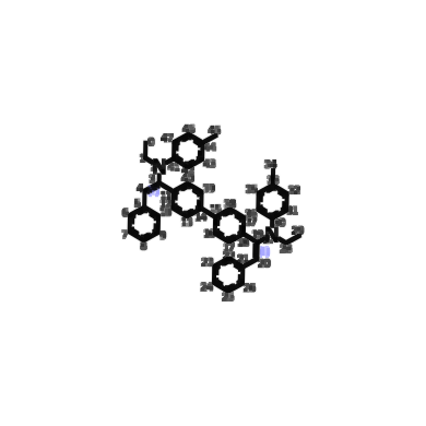 CCN(/C(=C/c1ccccc1)c1ccc(-c2ccc(/C(=C\c3ccccc3)N(CC)c3ccc(C)cc3)cc2)cc1)c1ccc(C)cc1